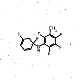 Cc1c(F)c(F)c(F)c(BC2(F)C=CC=C(F)C2)c1F